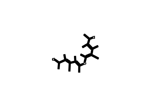 C[C]([Cr][C](C)=C(C)C(C)=C(C)C(C)Cl)=C(C)C(C)=C(C)C(C)Cl